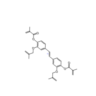 C=C(C)COc1cc(/C=C/c2ccc(OC(=O)C(=C)C)c(OCC(=C)C)c2)ccc1OC(=O)C(=C)C